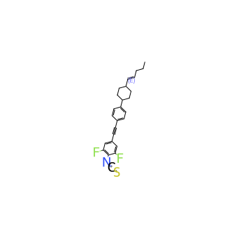 CCC/C=C/C1CCC(c2ccc(C#Cc3cc(F)c(N=C=S)c(F)c3)cc2)CC1